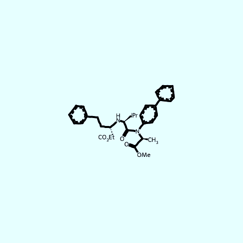 CCOC(=O)[C@H](CCc1ccccc1)N[C@H](C(=O)N(c1ccc(-c2ccccc2)cc1)[C@@H](C)C(=O)OC)C(C)C